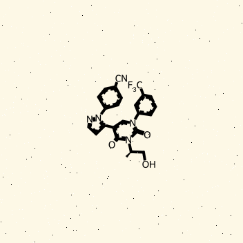 C[C@H](CO)n1c(=O)c(-c2ccnn2-c2ccc(C#N)cc2)cn(-c2cccc(C(F)(F)F)c2)c1=O